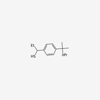 CCCC(C)(C)c1ccc(C(S)CC)cc1